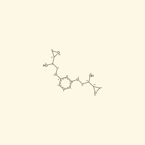 OC(COc1cccc(OCC(O)C2CO2)c1)C1CO1